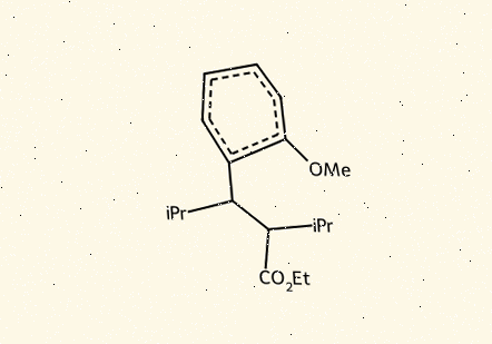 CCOC(=O)C(C(C)C)C(c1ccccc1OC)C(C)C